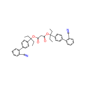 CCC(CC)(OC(=O)CC(=O)OC(CC)(CC)c1ccc(-c2ccccc2C#N)cc1)c1ccc(-c2ccccc2C#N)cc1